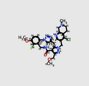 COCc1nn(Cc2cnc3c(c2Cl)CCN(C)C3)cc1C(=O)NCc1c(-n2cc(C)nn2)ccc(OC)c1F